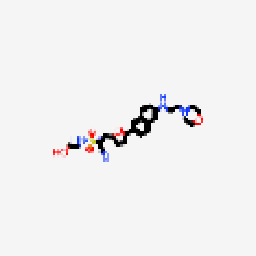 N#C/C(=C\c1ccc(-c2ccc3cc(NCCN4CCOCC4)ccc3c2)o1)S(=O)(=O)NCCO